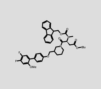 COc1cc(F)c(F)cc1-c1ccc(OCC2CCCN(C(=O)[C@H](CC(=O)OC(C)(C)C)N(C)C(=O)OCC3c4ccccc4-c4ccccc43)C2)cc1